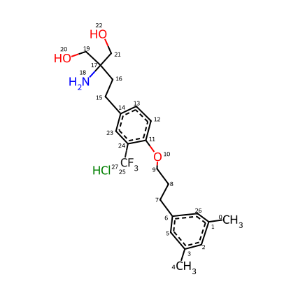 Cc1cc(C)cc(CCCOc2ccc(CCC(N)(CO)CO)cc2C(F)(F)F)c1.Cl